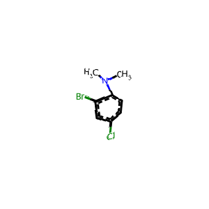 CN(C)c1ccc(Cl)cc1Br